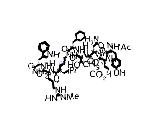 CNC(=N)NCCC[C@H](NC(=O)[C@@H](/C=C/CNC(=O)[C@H](CC1CCCCC1)NC(=O)[C@@H](NC(=O)[C@H](CC(N)=O)NC(=O)[C@H](CCC(=O)O)NC(=O)[C@@H](Cc1ccc(O)cc1)NC(C)=O)[C@@H](C)O)CC(C)C)C(=O)N[C@@H](Cc1c[nH]c2ccccc12)C(N)=O